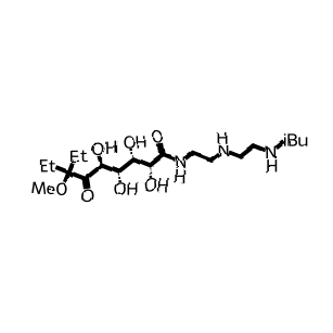 CCC(C)NCCNCCNC(=O)[C@H](O)[C@@H](O)[C@H](O)[C@H](O)C(=O)C(CC)(CC)OC